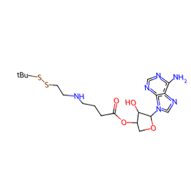 CC(C)(C)SSCCNCCCC(=O)OC1COC(n2cnc3c(N)ncnc32)C1O